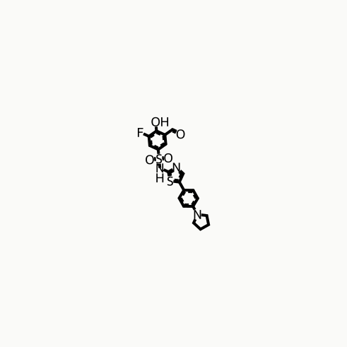 O=Cc1cc(S(=O)(=O)Nc2ncc(-c3ccc(N4CCCC4)cc3)s2)cc(F)c1O